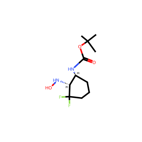 CC(C)(C)OC(=O)N[C@@H]1CCCC(F)(F)[C@@H]1NO